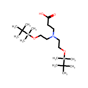 CC(C)(C)[Si](C)(C)OCCN(CCO[Si](C)(C)C(C)(C)C)CCC(=O)O